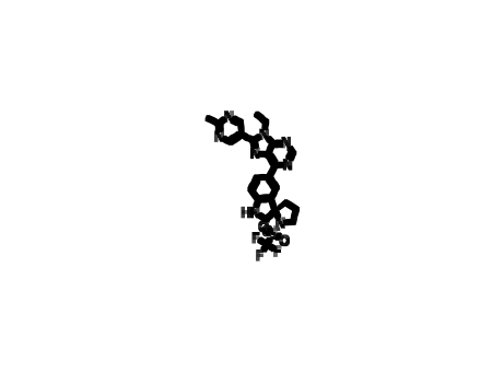 CCn1c(-c2cnc(C)nc2)nc2c(-c3ccc4c(c3)[C@@]3(CCCN3S(=O)(=O)C(F)(F)F)C(=O)N4)ncnc21